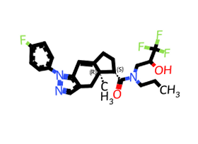 CCCN(CC(O)C(F)(F)F)C(=O)[C@H]1CCC2=Cc3c(cnn3-c3ccc(F)cc3)C[C@@]21C